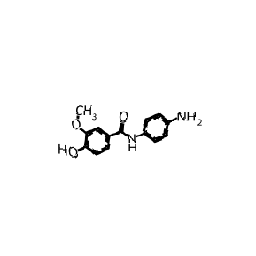 COc1cc(C(=O)Nc2ccc(N)cc2)ccc1O